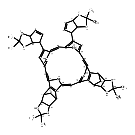 CC1(C)OC2C=CC(C3=Cc4cc5[nH]c(cc6nc(cc7cc(C8C=CC9OC(C)(C)OC98)c(cc3n4)[nH]7)C3=C6C4CC3C3OC(C)(C)OC43)c3c5C4CC3C3OC(C)(C)OC43)C2O1